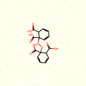 O=C(O)C1C=CC=CC1(OOC1(C(=O)O)C=CC=CC1C(=O)O)C(=O)O